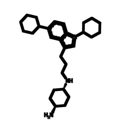 N[C@H]1CC[C@H](NCCCc2cn(C3CCCCC3)c3ccc(C4CCCCC4)cc23)CC1